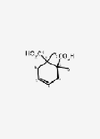 CC1(C(=O)O)CC=CCC1(C)C(=O)O